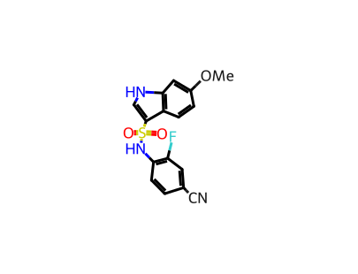 COc1ccc2c(S(=O)(=O)Nc3ccc(C#N)cc3F)c[nH]c2c1